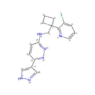 Fc1cccnc1C1(CNc2ccc(-c3cn[nH]c3)nn2)CCC1